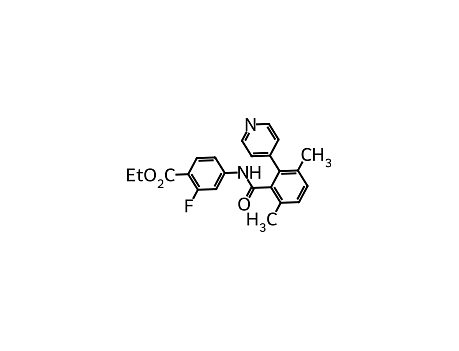 CCOC(=O)c1ccc(NC(=O)c2c(C)ccc(C)c2-c2ccncc2)cc1F